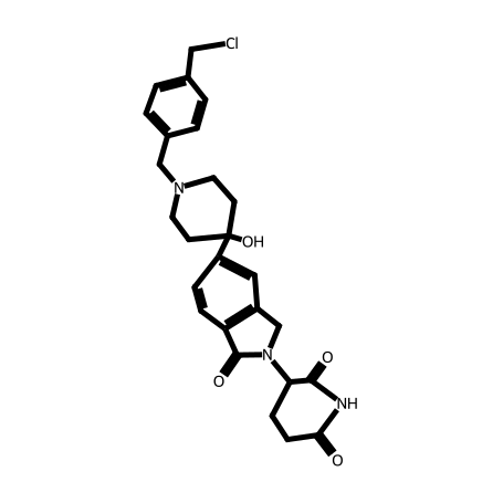 O=C1CCC(N2Cc3cc(C4(O)CCN(Cc5ccc(CCl)cc5)CC4)ccc3C2=O)C(=O)N1